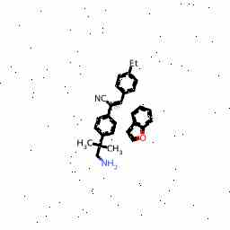 CCc1ccc(/C=C(\C#N)c2ccc(C(C)(C)CN)cc2)cc1.c1ccc2occc2c1